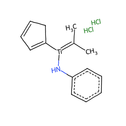 C[C](C)=[Ti]([NH]c1ccccc1)[C]1=CC=CC1.Cl.Cl